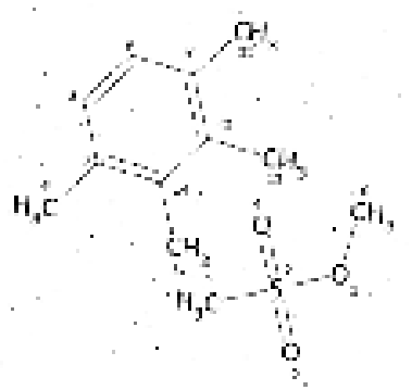 COS(C)(=O)=O.Cc1ccc(C)c(C)c1C